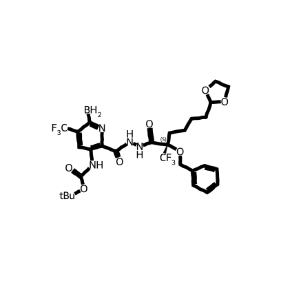 Bc1nc(C(=O)NNC(=O)[C@](CCCCC2OCCO2)(OCc2ccccc2)C(F)(F)F)c(NC(=O)OC(C)(C)C)cc1C(F)(F)F